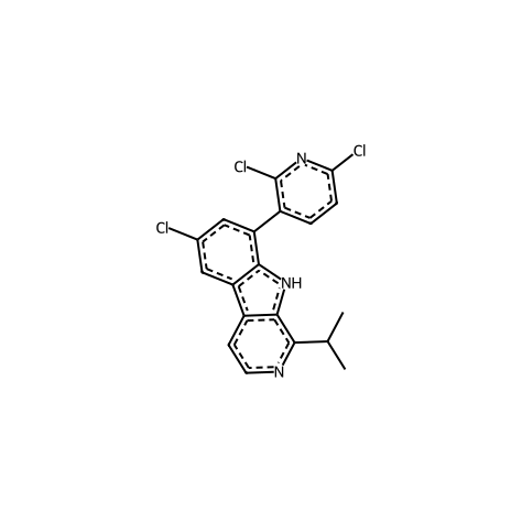 CC(C)c1nccc2c1[nH]c1c(-c3ccc(Cl)nc3Cl)cc(Cl)cc12